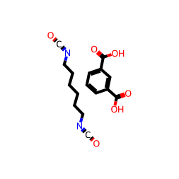 O=C(O)c1cccc(C(=O)O)c1.O=C=NCCCCCCN=C=O